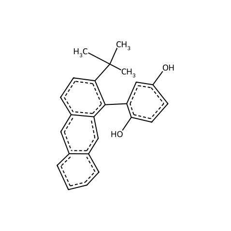 CC(C)(C)c1ccc2cc3ccccc3cc2c1-c1cc(O)ccc1O